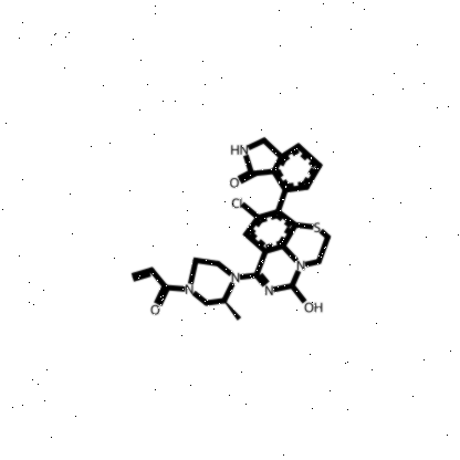 C=CC(=O)N1CCN(C2=NC(O)N3CCSc4c(-c5cccc6c5C(=O)NC6)c(Cl)cc2c43)[C@@H](C)C1